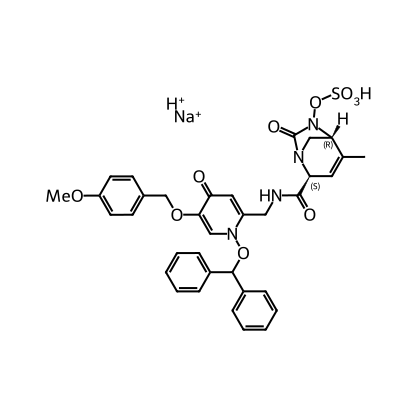 COc1ccc(COc2cn(OC(c3ccccc3)c3ccccc3)c(CNC(=O)[C@@H]3C=C(C)[C@@H]4CN3C(=O)N4OS(=O)(=O)O)cc2=O)cc1.[H+].[Na+]